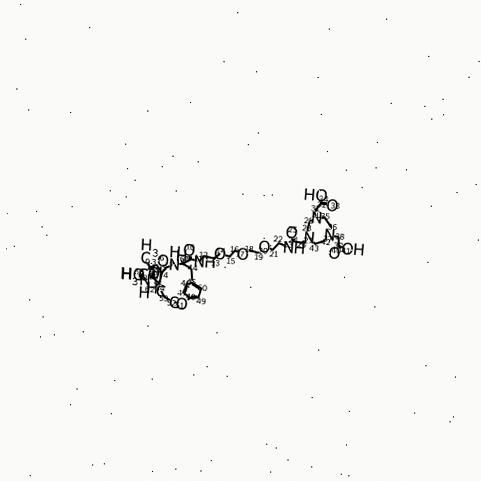 CC(C)C[C@H]1C(=O)N[C@H](C(=O)NCCOCCOCCOCCNC(=O)CN2CCN(CC(=O)O)CCN(CC(=O)O)CC2)Cc2ccc(cc2)OCCC[C@@H]1C(=O)NO